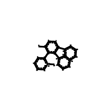 Cc1ccc2c(c1-c1cccc[n+]1C)-c1cccc3cccc-2c13